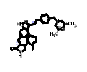 C[C@@H]1CN(Cc2ccc(/C=C/c3n[nH]c4cc(/C=C5/C(=O)NCC5c5ccccc5F)ccc34)cc2)C[C@H](C)O1